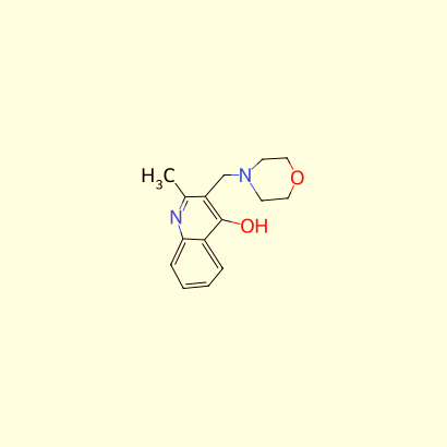 Cc1nc2ccccc2c(O)c1CN1CCOCC1